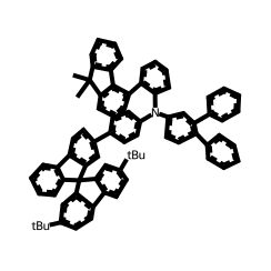 CC(C)(C)c1ccc2c(c1)C1(c3ccccc3-c3ccc(-c4ccc(N(c5ccc(-c6ccccc6)c(-c6ccccc6)c5)c5ccccc5-c5cccc6c5-c5ccccc5C6(C)C)cc4)cc31)c1cc(C(C)(C)C)ccc1-2